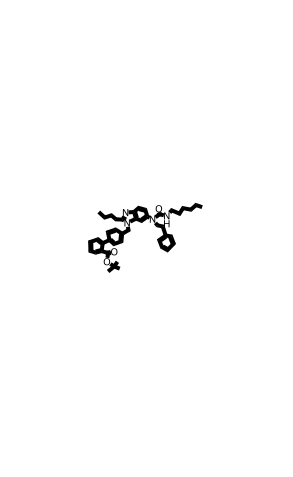 CCCCCCNC(=O)N(CCc1ccccc1)c1ccc2nc(CCCC)n(Cc3ccc(-c4ccccc4C(=O)OC(C)(C)C)cc3)c2c1